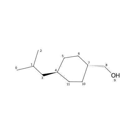 CC(C)C[C@H]1CC[C@H](CO)CC1